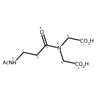 CC(=O)NCCC(=O)N(CC(=O)O)CC(=O)O